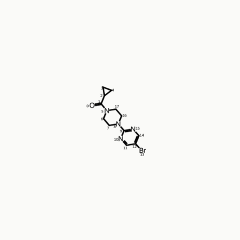 O=C(C1CC1)N1CCN(c2ncc(Br)cn2)CC1